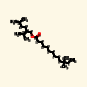 CCC(C)(C)CCCCCCCCCC(=O)OCC(CCC(C)C)C(C)C